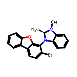 CCc1ccc2c(oc3ccccc32)c1N1c2ccccc2N(C)[C@@H]1C